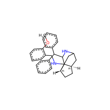 COc1ccccc1CNC12C(C(c3ccccc3)c3ccccc3)NC3C[C@H]1CC[C@@H]2C3